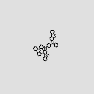 c1ccc(N(c2ccc(-n3c4ccccc4c4c(-c5cccc6c5sc5ccccc56)c5c(cc43)oc3ccccc35)cc2)c2ccc3c(c2)sc2ccccc23)cc1